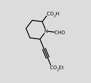 CCOC(=O)C#CC1CCCC(C(=O)O)N1C=O